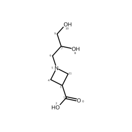 O=C(O)C1CN(CC(O)CO)C1